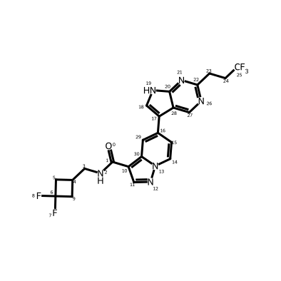 O=C(NCC1CC(F)(F)C1)c1cnn2ccc(-c3c[nH]c4nc(CCC(F)(F)F)ncc34)cc12